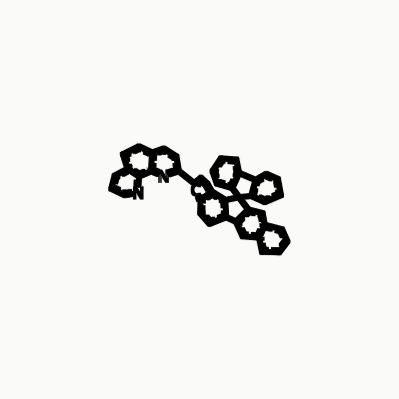 c1ccc2c(c1)-c1ccccc1C21c2cc3ccccc3cc2-c2ccc3cc(-c4ccc5ccc6cccnc6c5n4)ccc3c21